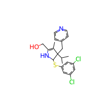 CC1=C(CO)NC(Sc2cc(Cl)cc(Cl)c2)C1(Cc1ccncc1)C(C)C